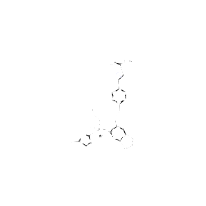 CCCN(c1cc2c(cc1OCc1ccc(/C=C/C(=O)O)cc1)CCC2)S(=O)(=O)c1ccc(C)o1